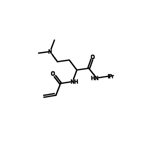 C=CC(=O)NC(CCN(C)C)C(=O)NC(C)C